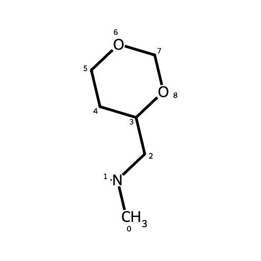 C[N]CC1CCOCO1